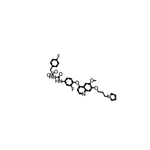 COc1cc2c(Oc3ccc(NC(=O)NS(=O)(=O)Cc4ccc(F)cc4)cc3F)ccnc2cc1OCCCn1cccc1